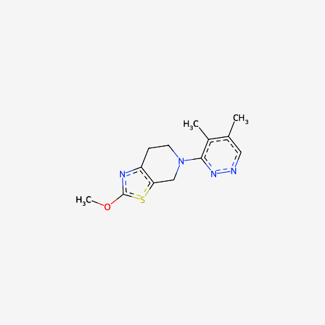 COc1nc2c(s1)CN(c1nncc(C)c1C)CC2